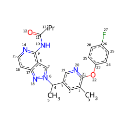 Cc1cc(C(C)n2cc3c(NC(=O)C(C)C)nccc3n2)cnc1Oc1ccc(F)cc1